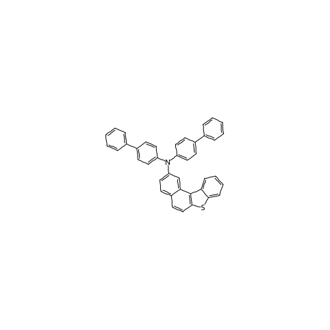 c1ccc(-c2ccc(N(c3ccc(-c4ccccc4)cc3)c3ccc4ccc5sc6ccccc6c5c4c3)cc2)cc1